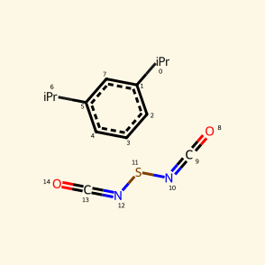 CC(C)c1cccc(C(C)C)c1.O=C=NSN=C=O